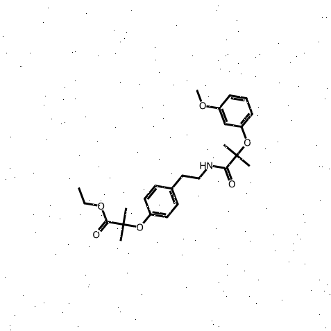 CCOC(=O)C(C)(C)Oc1ccc(CCNC(=O)C(C)(C)Oc2cccc(OC)c2)cc1